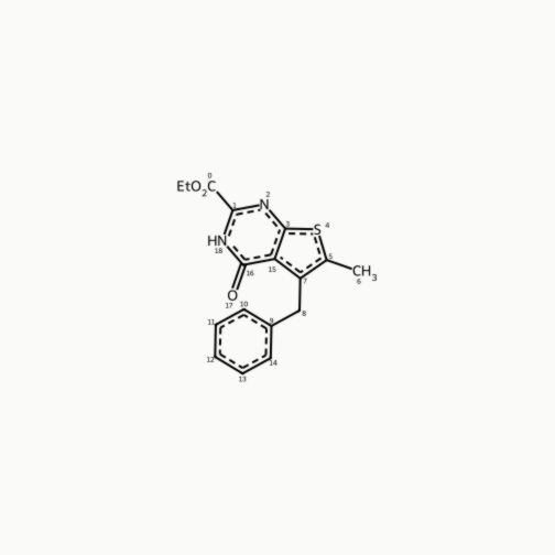 CCOC(=O)c1nc2sc(C)c(Cc3ccccc3)c2c(=O)[nH]1